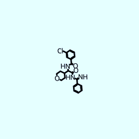 N=C(NC(=O)C(NC(=O)c1cccc(Cl)c1)C1CCOCC1)c1ccccc1